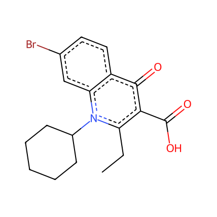 CCc1c(C(=O)O)c(=O)c2ccc(Br)cc2n1C1CCCCC1